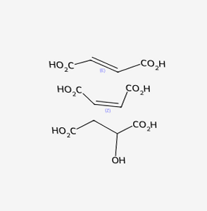 O=C(O)/C=C/C(=O)O.O=C(O)/C=C\C(=O)O.O=C(O)CC(O)C(=O)O